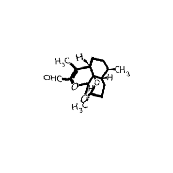 CC1=C(C=O)O[C@@H]2O[C@]3(C)CC[C@H]4[C@H](C)CC[C@@H]1[C@@]24O3